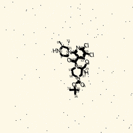 C[C@@H]1NCCN(c2nc(Cl)c(Cl)c3c2C(=O)N2CCN(C(=O)OC(C)(C)C)C[C@@H]2CO3)[C@H]1C